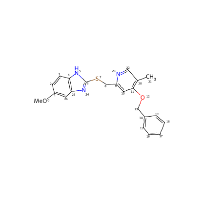 COc1ccc2[nH]c(SCc3cc(OCc4ccccc4)c(C)cn3)nc2c1